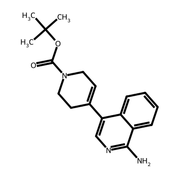 CC(C)(C)OC(=O)N1CC=C(c2cnc(N)c3ccccc23)CC1